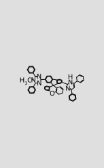 CN1C(c2ccccc2)=NC(c2ccc3c(c2)C2(C4=C(CCC=C4)Oc4ccccc42)c2cc(C4N=C(c5ccccc5)C=C(C5C=CC=CC5)N4)ccc2-3)=NC1c1ccccc1